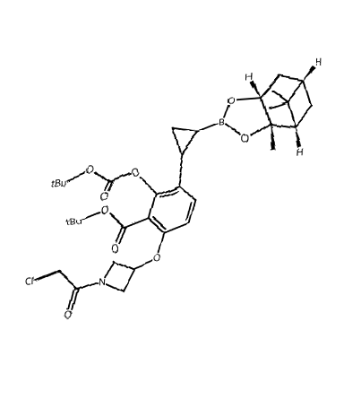 CC(C)(C)OC(=O)Oc1c(C2CC2B2O[C@@H]3C[C@@H]4C[C@@H](C4(C)C)[C@]3(C)O2)ccc(OC2CN(C(=O)CCl)C2)c1C(=O)OC(C)(C)C